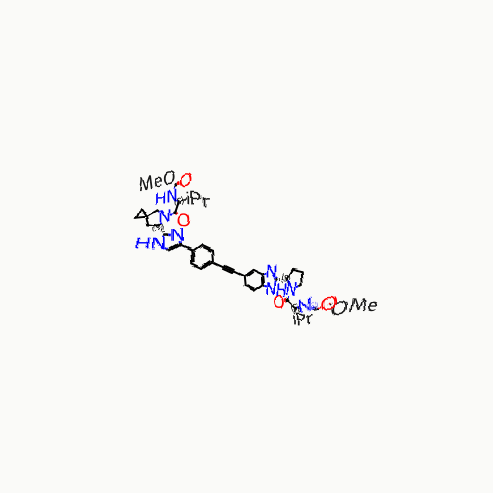 COO/C=N/[C@H](C(=O)N1CCC[C@H]1c1nc2cc(C#Cc3ccc(-c4c[nH]c([C@@H]5CC6(CC6)CN5C(=O)[C@@H](NC(=O)OC)C(C)C)n4)cc3)ccc2[nH]1)C(C)C